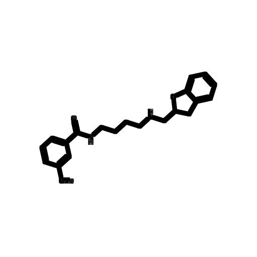 COc1cccc(C(=O)NCCCCNCC2Cc3ccccc3O2)c1